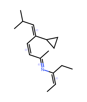 C\C=C(CC)/N=C(C)/C=C\C(=C/C(C)C)C1CC1